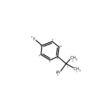 CC(C)C(C)(C)c1ccc(F)cc1